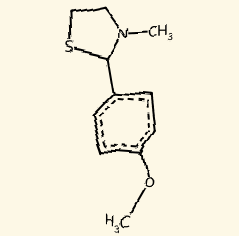 COc1ccc(C2SCCN2C)cc1